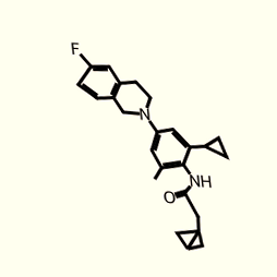 Cc1cc(N2CCc3cc(F)ccc3C2)cc(C2CC2)c1NC(=O)CC12CC1C2